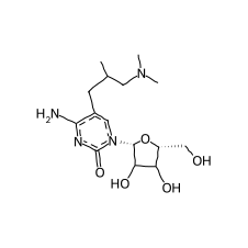 CC(Cc1cn([C@@H]2O[C@H](CO)C(O)C2O)c(=O)nc1N)CN(C)C